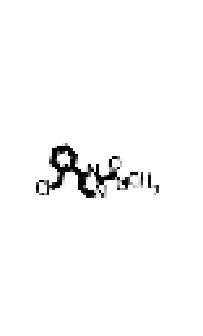 COC(=O)c1nccc(-c2ccccc2CCl)n1